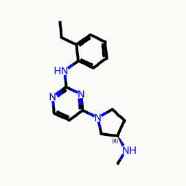 CCc1ccccc1Nc1nccc(N2CC[C@@H](NC)C2)n1